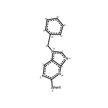 CCCCCc1n[c]c2c(ncn2Cc2ccccc2)n1